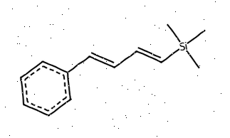 C[Si](C)(C)C=CC=Cc1ccccc1